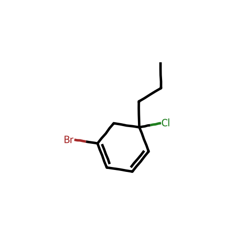 CCCC1(Cl)C=CC=C(Br)C1